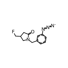 [N-]=[N+]=Nc1cccc(CN2CC(CF)CC2=O)c1